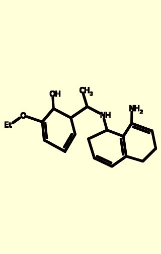 CCOC1=CC=CC(C(C)NC2CC=CC3=C2C(N)=CCC3)C1O